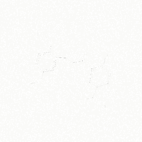 COc1ccc(OC)c(/C=C/C(=O)c2cc(C(C)C)c(O)cc2O)c1